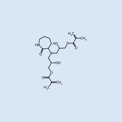 C=C(C)C(=O)OCC(O)CN(CC(O)COC(=O)C(=C)C)C1CCCCNC1=O